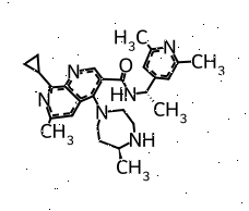 Cc1cc([C@H](C)NC(=O)c2cnc3c(C4CC4)nc(C)cc3c2N2CCN[C@@H](C)CC2)cc(C)n1